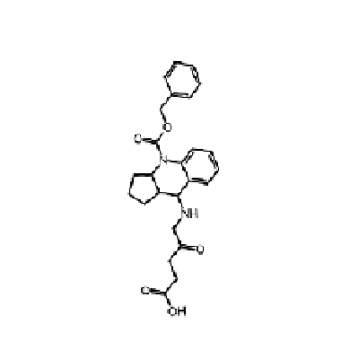 O=C(O)CCC(=O)CNC1c2ccccc2N(C(=O)OCc2ccccc2)C2CCCC12